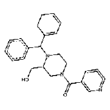 O=C(C1=CN=C=C=C1)N1CCN(C(C2=CC=CCC2)c2ccccc2)C(CO)C1